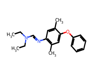 CCN(C=Nc1cc(C)c(Oc2ccccc2)cc1C)CC